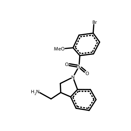 COc1cc(Br)ccc1S(=O)(=O)N1CC(CN)c2ccccc21